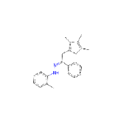 CC1=C(C)C(C)=C(CC(=NNc2ccccc2C)c2ccccc2)C1